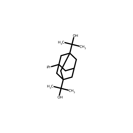 CC(C)C12CC3CC(C(C)(C)O)(C1)CC(C(C)(C)O)(C3)C2